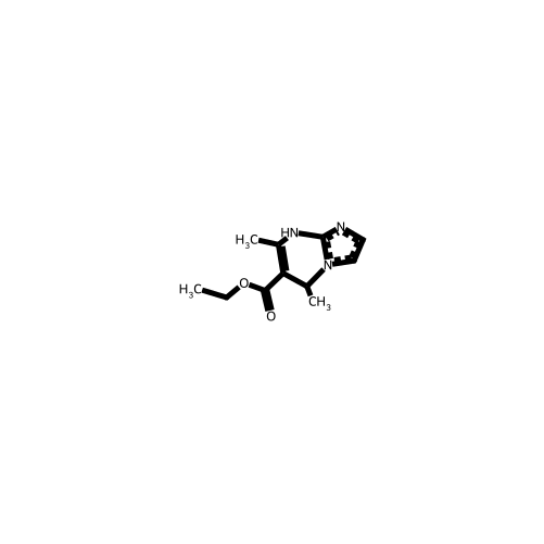 CCOC(=O)C1=C(C)Nc2nccn2C1C